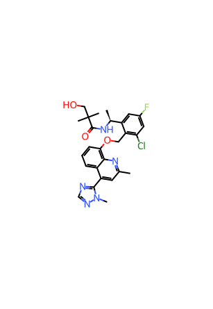 Cc1cc(-c2ncnn2C)c2cccc(OCc3c(Cl)cc(F)cc3[C@H](C)NC(=O)C(C)(C)CO)c2n1